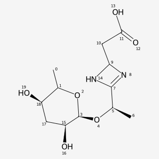 CC1O[C@@H](O[C@H](C)C2=NC(CC(=O)O)N2)[C@@H](O)C[C@H]1O